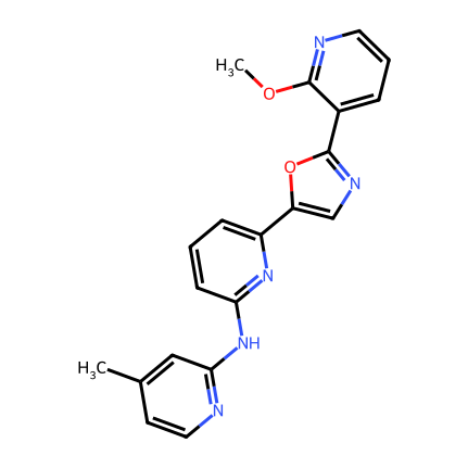 COc1ncccc1-c1ncc(-c2cccc(Nc3cc(C)ccn3)n2)o1